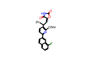 COc1nc(-c2ccc3cccc(F)c3c2)ccc1C(/C=C1/OC(=O)NC1=O)C(C)C